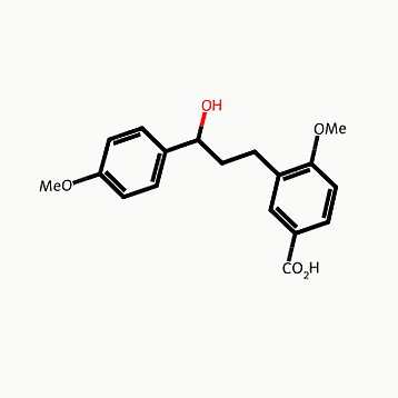 COc1ccc(C(O)CCc2cc(C(=O)O)ccc2OC)cc1